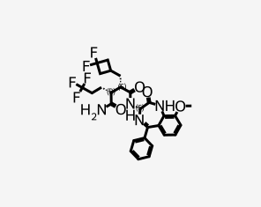 COc1cccc2c1NC(=O)[C@@H](NC(=O)[C@@H](CC1CC(F)(F)C1)[C@@H](CCC(F)(F)F)C(N)=O)N=C2c1ccccc1